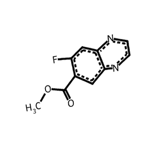 COC(=O)c1cc2nccnc2cc1F